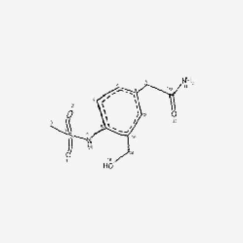 CS(=O)(=O)Nc1ccc([CH]C(N)=O)cc1CO